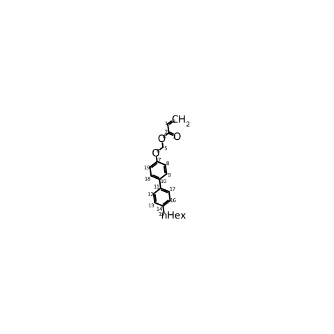 C=CC(=O)OCOc1ccc(-c2ccc(CCCCCC)cc2)cc1